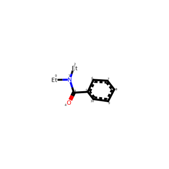 CCN(CC)C(=O)c1[c]cccc1